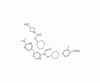 COc1ccc([C@H]2CC[C@H](CN(c3cc(-c4cnc(N(C)C)nc4)ccn3)C(=O)[C@H]3CC[C@H](OC(=O)N4CC(O)C4)CC3)CC2)cc1C